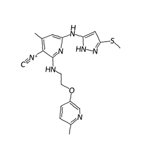 [C-]#[N+]c1c(C)cc(Nc2cc(SC)n[nH]2)nc1NCCOc1ccc(C)nc1